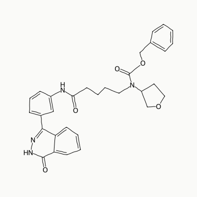 O=C(CCCCN(C(=O)OCc1ccccc1)C1CCOC1)Nc1cccc(-c2n[nH]c(=O)c3ccccc23)c1